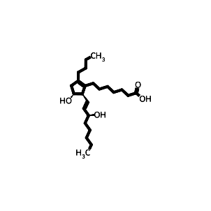 CCCCC[C@H](O)C=C[C@@H]1C(CCCCCCC(=O)O)=C(CCCC)C[C@H]1O